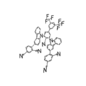 N#Cc1ccc(-c2ccc3c(c2)c2ccccc2n3-c2cc(-c3cc(C(F)(F)F)cc(C(F)(F)F)c3)cc(-n3c4ccccc4c4cc(-c5ccc(C#N)cc5C#N)ccc43)c2C#N)c(C#N)c1